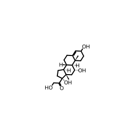 C[C@]12CCC(O)C=C1CC[C@@H]1[C@@H]2[C@H](O)C[C@@]2(C)[C@H]1CC[C@]2(O)C(=O)CO